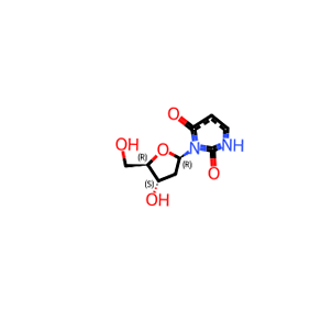 O=c1cc[nH]c(=O)n1[C@H]1C[C@H](O)[C@@H](CO)O1